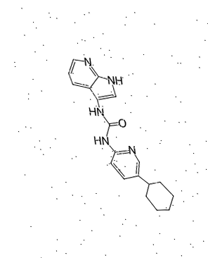 O=C(Nc1ccc(C2CCCCC2)cn1)Nc1c[nH]c2ncccc12